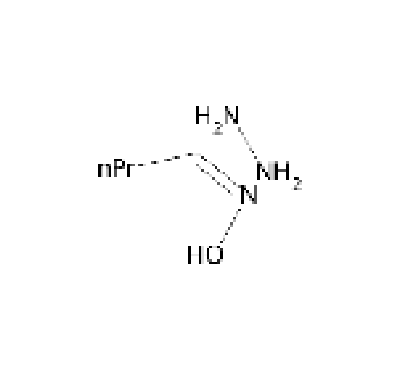 CCC/C=N\O.NN